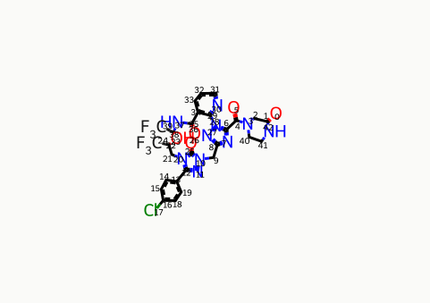 O=C1CN(C(=O)c2nc(Cn3nc(-c4ccc(Cl)cc4)n(CC(O)C(F)(F)F)c3=O)nn2-c2ncccc2C(=O)NCC(F)(F)F)CCN1